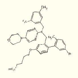 Cc1cc(CN(Cc2cc(OCCCCC(=O)O)ccc2-c2cc(C(C)C)ccc2C)c2ncc(N3CCOCC3)cn2)cc(C(F)(F)F)c1